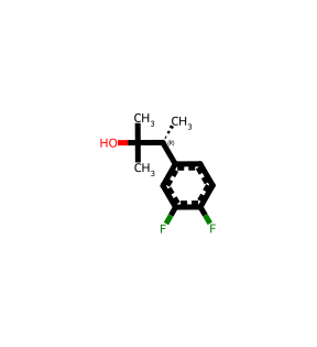 C[C@H](c1ccc(F)c(F)c1)C(C)(C)O